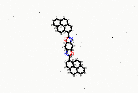 c1cc2ccc3ccc(-c4nc5cc6oc(-c7ccc8ccc9cccc%10ccc7c8c9%10)nc6cc5o4)c4ccc(c1)c2c34